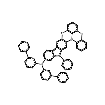 c1ccc(-c2cccc(N(c3cccc(-c4ccccc4)c3)c3ccc4c5cc6c(cc5n(-c5ccccc5)c4c3)B3c4ccccc4Oc4cccc(c43)O6)c2)cc1